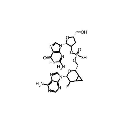 Nc1nc2c(ncn2[C@@H]2O[C@H](CO)CC2OP(=O)(S)OC[C@H]2O[C@@H](n3cnc4c(N)ncnc43)C(F)C3CC32)c(=O)[nH]1